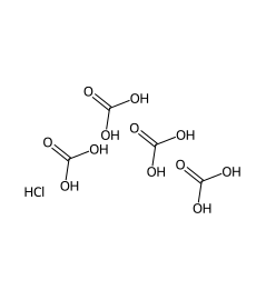 Cl.O=C(O)O.O=C(O)O.O=C(O)O.O=C(O)O